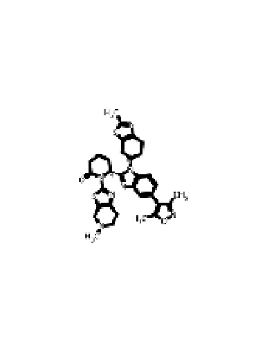 Cc1nc2c(s1)C[C@H](n1c([C@@H]3CCCC(=O)N3c3nc4c(s3)CN(C)CC4)nc3cc(-c4c(C)noc4C)ccc31)CC2